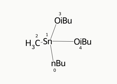 CCC[CH2][Sn]([CH3])([O]CC(C)C)[O]CC(C)C